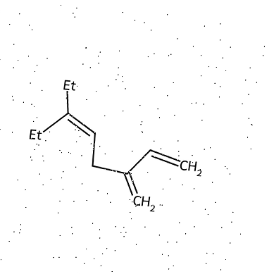 C=CC(=C)CC=C(CC)CC